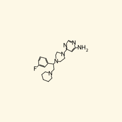 Nc1cc(N2CCN(C(CN3CCCCC3)c3cccc(F)c3)CC2)ncn1